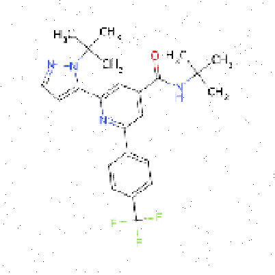 CC(C)(C)NC(=O)c1cc(-c2ccc(C(F)(F)F)cc2)nc(-c2ccnn2C(C)(C)C)c1